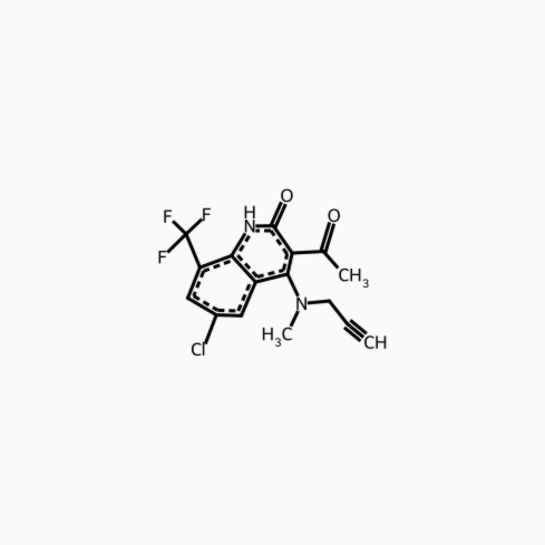 C#CCN(C)c1c(C(C)=O)c(=O)[nH]c2c(C(F)(F)F)cc(Cl)cc12